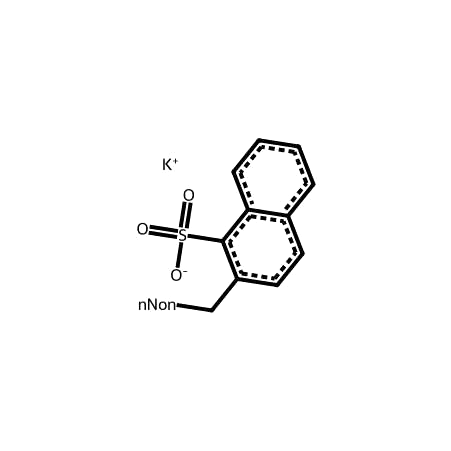 CCCCCCCCCCc1ccc2ccccc2c1S(=O)(=O)[O-].[K+]